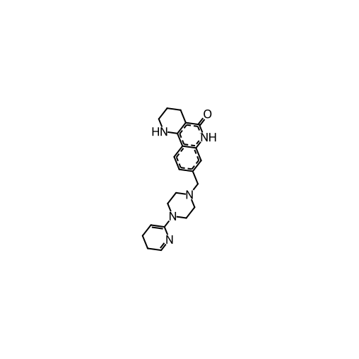 O=c1[nH]c2cc(CN3CCN(C4=CCCC=N4)CC3)ccc2c2c1CCCN2